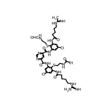 CCC(=O)NCCSc1c(NC(=O)CCCCNC(=N)N)cc(Cl)cc1NC(=O)c1cc(C(=O)Nc2cc(Cl)cc(NC(=O)CCCCNC(C)=N)c2SCCNC=O)ncn1